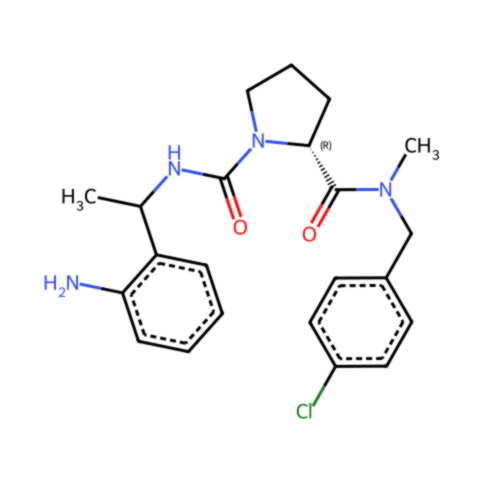 CC(NC(=O)N1CCC[C@@H]1C(=O)N(C)Cc1ccc(Cl)cc1)c1ccccc1N